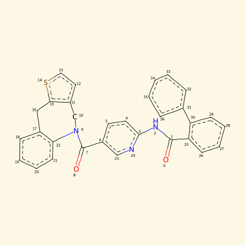 O=C(Nc1ccc(C(=O)N2Cc3ccsc3Cc3ccccc32)cn1)c1ccccc1-c1ccccc1